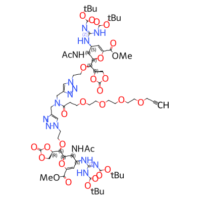 C#CCOCCOCCOCCOCCC(=O)N(Cc1cn(CCO[C@@H]([C@@H]2OC(C(=O)OC)=C[C@H](N/C(=N/C(=O)OC(C)(C)C)NC(=O)OC(C)(C)C)[C@H]2NC(C)=O)[C@H]2COC(=O)O2)nn1)Cc1cn(CCO[C@@H]([C@@H]2OC(C(=O)OC)=C[C@H](N/C(=N/C(=O)OC(C)(C)C)NC(=O)OC(C)(C)C)[C@H]2NC(C)=O)[C@H]2COC(=O)O2)nn1